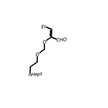 CCC=C(C=O)OCOCCCCCCCCC